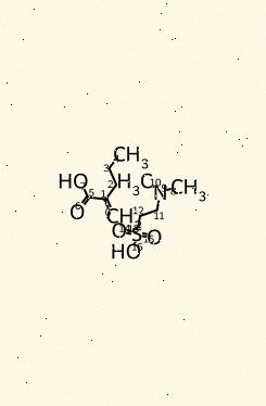 C=C(CCC)C(=O)O.CN(C)CCS(=O)(=O)O